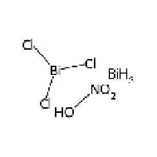 O=[N+]([O-])O.[BiH3].[Cl][Bi]([Cl])[Cl]